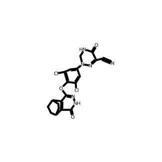 N#CC1=NN(c2cc(Cl)c(Oc3n[nH]c(=O)c4c3C3CCC4CC3)c(Cl)c2)CNC1=O